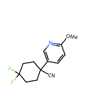 COc1ccc(C2(C#N)CCC(F)(F)CC2)cn1